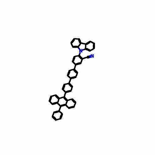 N#Cc1cc(-c2ccc(-c3ccc(-c4c5ccccc5c(-c5ccccc5)c5ccccc45)cc3)cc2)ccc1-n1c2ccccc2c2ccccc21